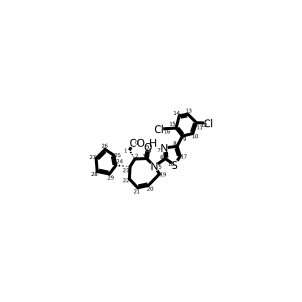 O=C(O)C[C@@H]1C(=O)N(c2nc(-c3cc(Cl)ccc3Cl)cs2)C/C=C\C[C@@H]1c1ccccc1